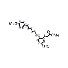 COC(=O)CCc1nc(C=O)ccc1OCCCC/C=C/c1ccc(OC)cc1